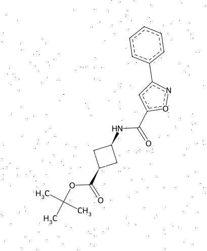 CC(C)(C)OC(=O)[C@H]1C[C@@H](NC(=O)c2cc(-c3ccccc3)no2)C1